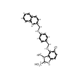 CCCN1c2c(ccc(Cl)c2OCc2ccc(OCc3ccc4ccccc4n3)cc2)OC1C(=O)O